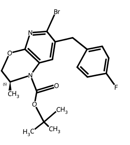 C[C@H]1COc2nc(Br)c(Cc3ccc(F)cc3)cc2N1C(=O)OC(C)(C)C